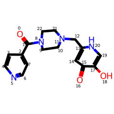 O=C(c1ccncc1)N1CCN(Cc2cc(=O)c(O)c[nH]2)CC1